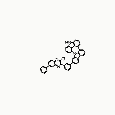 Clc1nc2ccc(-c3ccccc3)cc2nc1-c1cccc(-c2ccc3c4cccc5c6cccc7[nH]c8cccc(c8c76)n(c3c2)c54)c1